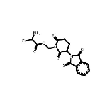 CC(C)C(N)C(=O)OCN1C(=O)CCC(N2C(=O)c3ccccc3C2=O)C1=O